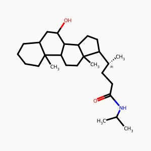 CC(C)NC(=O)CC[C@@H](C)C1CCC2C3C(O)CC4CCCCC4(C)C3CCC21C